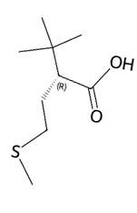 CSCC[C@@H](C(=O)O)C(C)(C)C